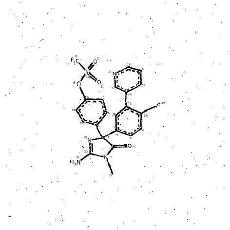 CN1C(=O)C(c2ccc(OS(=O)(=O)C(F)(F)F)cc2)(c2ccc(F)c(-c3cccnc3)c2)N=C1N